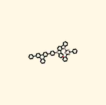 c1ccc(-c2ccc3c4ccc(-c5ccc(-n6c7ccccc7c7c6ccc6c8ccccc8n(-c8nc(-c9ccccc9)nc(-c9ccccc9)n8)c67)cc5)cc4c4ccccc4c3c2)cc1